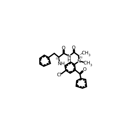 C[C@@H](C(=O)NC(=O)[C@@H](N)Cc1ccccc1)N(C)c1ccc(Cl)cc1C(=O)c1ccccc1